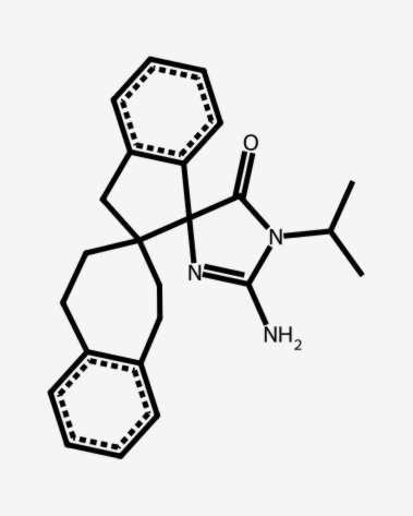 CC(C)N1C(=O)C2(N=C1N)c1ccccc1CC21CCc2ccccc2CC1